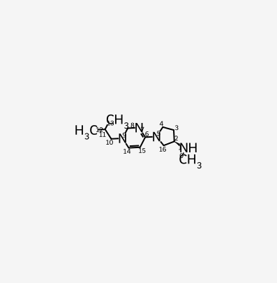 CN[C@@H]1CCN(C2=NCN(CC(C)C)C=C2)C1